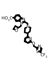 O=C(O)c1ccc2nc(CN3CCC(c4cccc(OCc5ncc(C(F)(F)F)s5)n4)CC3)n(CC3CCO3)c2c1